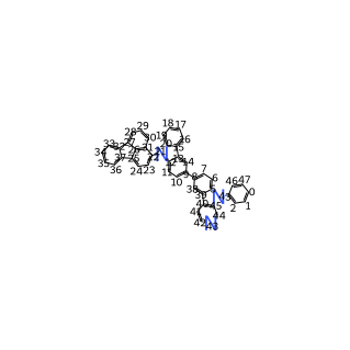 c1ccc(-n2c3ccc(-c4ccc5c(c4)c4ccccc4n5-c4ccc5c6c(cccc46)-c4ccccc4-5)cc3c3ccncc32)cc1